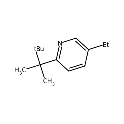 CCc1ccc(C(C)(C)C(C)(C)C)nc1